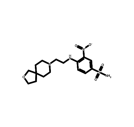 NS(=O)(=O)c1ccc(NCCN2CCC3(CCOC3)CC2)c([N+](=O)[O-])c1